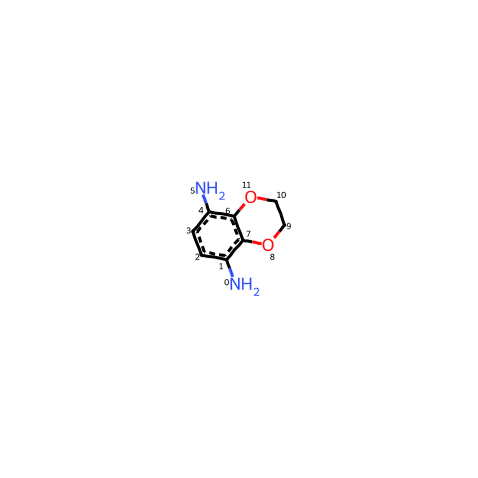 Nc1ccc(N)c2c1OCCO2